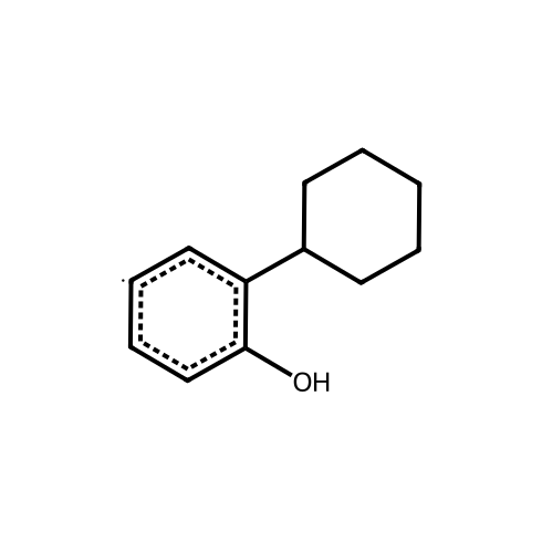 Oc1cc[c]cc1C1CCCCC1